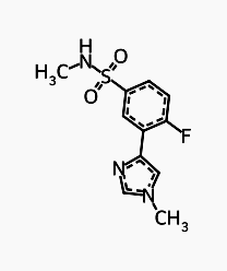 CNS(=O)(=O)c1ccc(F)c(-c2cn(C)cn2)c1